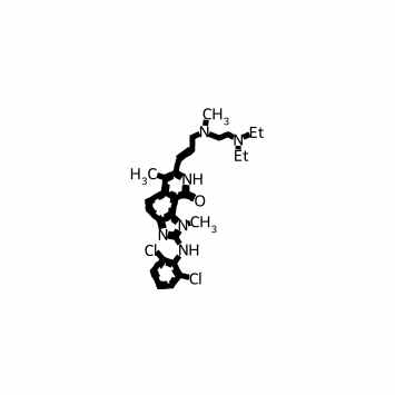 CCN(CC)CCN(C)CC=Cc1[nH]c(=O)c2c(ccc3nc(Nc4c(Cl)cccc4Cl)n(C)c32)c1C